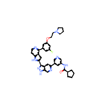 O=C(Nc1cncc(-c2cc3c(-c4cc5c(-c6cc(F)cc(OCCN7CCCC7)c6)nccc5[nH]4)n[nH]c3cn2)c1)C1CCCC1